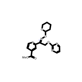 COC(=O)c1ccnc(/C(COc2ncccn2)=N/OC2CCCCO2)c1